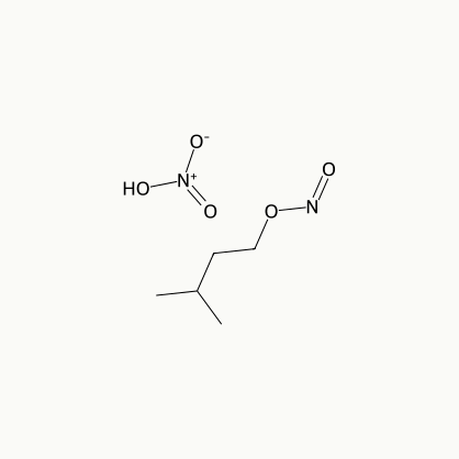 CC(C)CCON=O.O=[N+]([O-])O